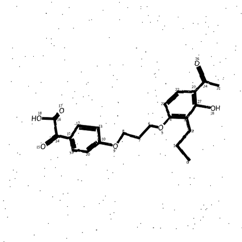 CCCc1c(OCCCOc2ccc(C(=O)C(=O)O)cc2)ccc(C(C)=O)c1O